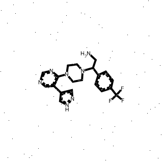 NCC(c1ccc(C(F)(F)F)cc1)N1CCN(c2ncncc2-c2cn[nH]c2)CC1